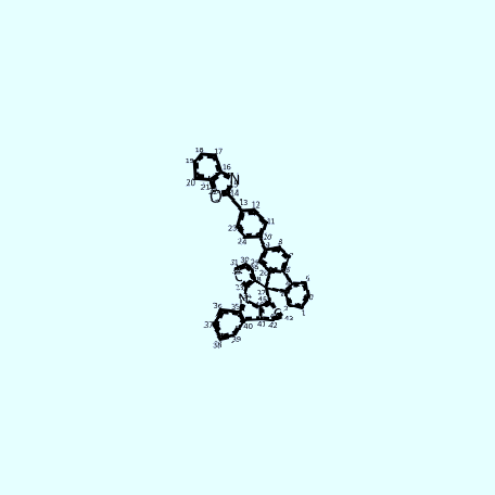 c1ccc2c(c1)-c1ccc(-c3ccc(-c4nc5ccccc5o4)cc3)cc1C21c2ccccc2-n2c3ccccc3c3cccc1c32